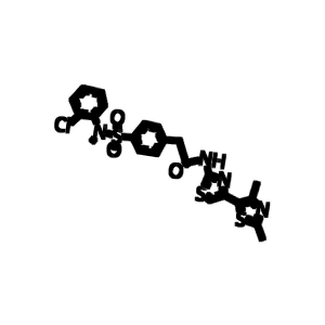 Cc1nc(C)c(-c2csc(NC(=O)Cc3ccc(S(=O)(=O)N(C)c4ccccc4Cl)cc3)n2)s1